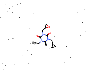 C=C1N(CC(C)CC)C(=O)N(CC2CO2)C(=O)N1CC1CC1